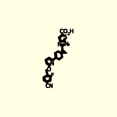 Cn1c(C2CC23CC=C(c2cccc(OCc4ccc(C#N)cc4F)n2)CC3)nc2cc(C(=O)O)sc21